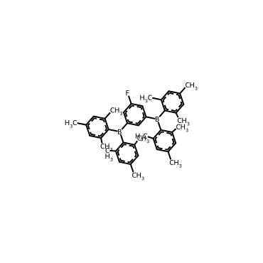 Cc1cc(C)c(B(c2cc(F)cc(B(c3c(C)cc(C)cc3C)c3c(C)cc(C)cc3C)c2)c2c(C)cc(C)cc2C)c(C)c1